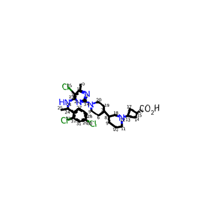 Cc1nc(N2CCC(C3CCCN(C4CC(C(=O)O)C4)C3)CC2)nc(NC(C)c2ccc(Cl)cc2Cl)c1Cl